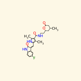 Cc1[nH]c(/C=C2\C(=O)Nc3ccc(F)cc32)c(C)c1C(=O)NCCC1CC(C)CC(=O)O1